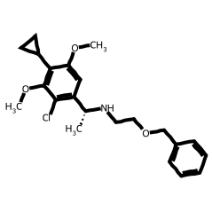 COc1cc([C@@H](C)NCCOCc2ccccc2)c(Cl)c(OC)c1C1CC1